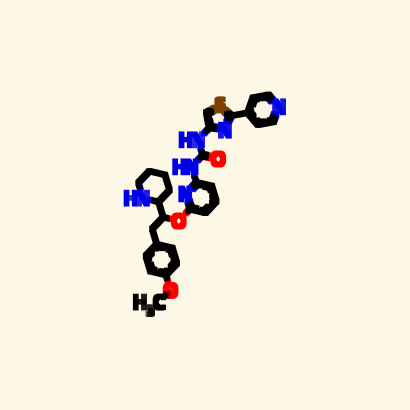 COc1ccc(CC(Oc2cccc(NC(=O)Nc3csc(-c4ccncc4)n3)n2)C2CCCCN2)cc1